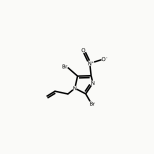 C=CCn1c(Br)nc([N+](=O)[O-])c1Br